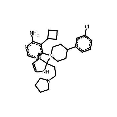 Nc1ncnc([N+]2(C3(CCN4CCCC4)NC=CN3)CCC(c3cccc(Cl)c3)CC2)c1C1CCC1